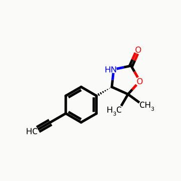 C#Cc1ccc([C@@H]2NC(=O)OC2(C)C)cc1